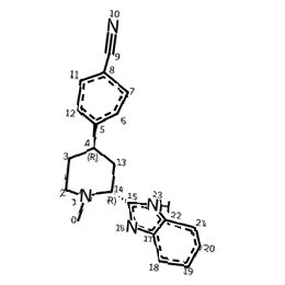 CN1CC[C@@H](c2c[c]c(C#N)cc2)C[C@@H]1c1nc2ccccc2[nH]1